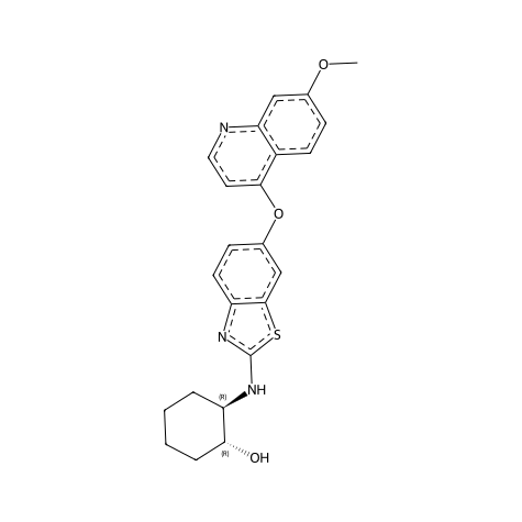 COc1ccc2c(Oc3ccc4nc(N[C@@H]5CCCC[C@H]5O)sc4c3)ccnc2c1